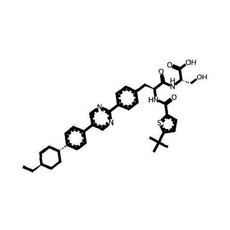 CC[C@H]1CC[C@H](c2ccc(-c3cnc(-c4ccc(C[C@H](NC(=O)c5ccc(C(C)(C)C)s5)C(=O)N[C@@H](CO)C(=O)O)cc4)nc3)cc2)CC1